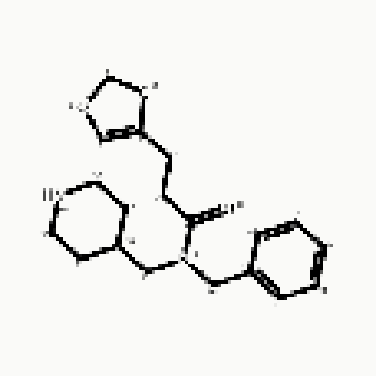 O=C(CCC1=COCO1)N(Cc1ccccc1)CC1CCNCC1